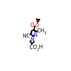 Cc1nc(N2CC(C(=O)O)C2)c(C#N)cc1C(=O)OC1CC1